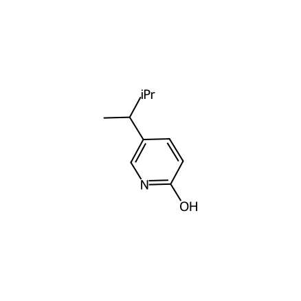 CC(C)C(C)c1ccc(O)nc1